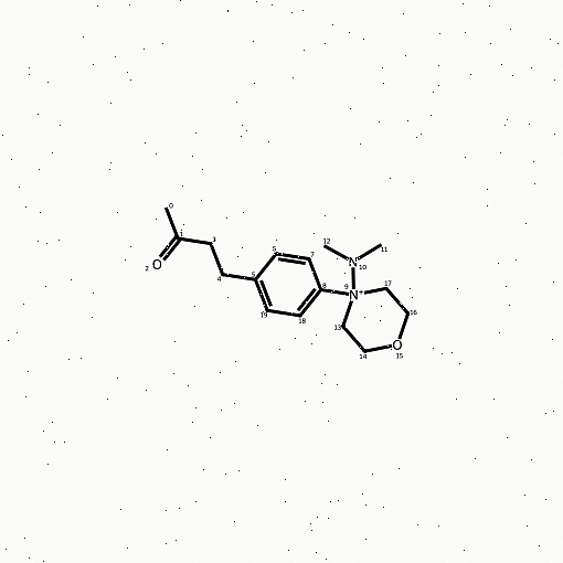 CC(=O)CCc1ccc([N+]2(N(C)C)CCOCC2)cc1